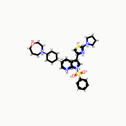 O=S(=O)(c1ccccc1)n1cc(-c2csc(N3CCCC3)n2)c2cc([C@H]3CC[C@H](N4CCCOCC4)CC3)cnc21